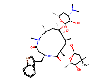 CO[C@]1(C)C[C@H](O[C@H]2[C@H](C)[C@@H](O[C@@H]3O[C@H](C)C[C@H](N(C)C)[C@H]3O)[C@](C)(O)C[C@@H](C)CN(C)C(=O)C[C@H](Cc3csc4ccccc34)NC(=O)[C@@H]2C)O[C@@H](C)[C@@H]1O